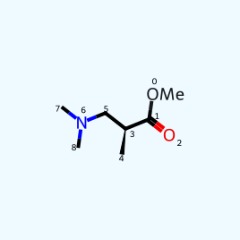 COC(=O)[C@@H](C)CN(C)C